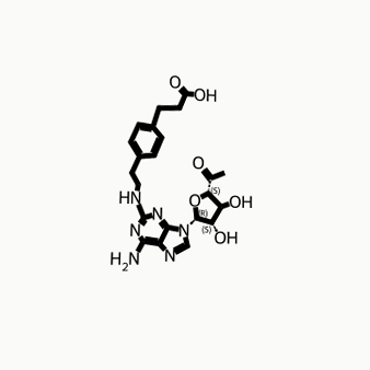 CC(=O)[C@H]1O[C@@H](n2cnc3c(N)nc(NCCc4ccc(CCC(=O)O)cc4)nc32)[C@@H](O)C1O